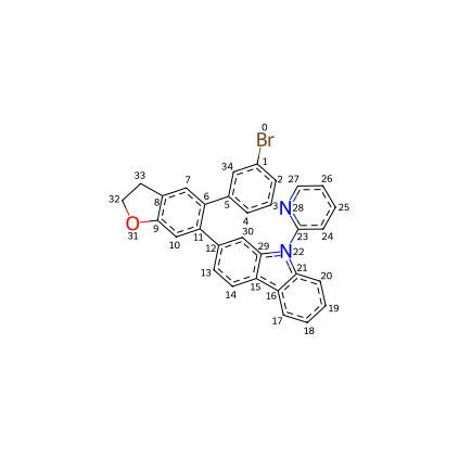 Brc1cccc(-c2cc3c(cc2-c2ccc4c5ccccc5n(-c5ccccn5)c4c2)OCC3)c1